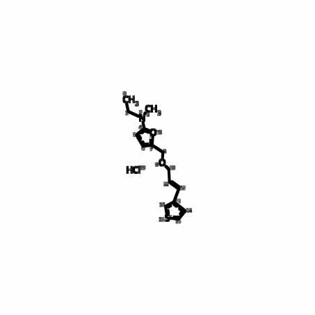 CCN(C)c1ccc(COC/C=C/c2ccsc2)o1.Cl